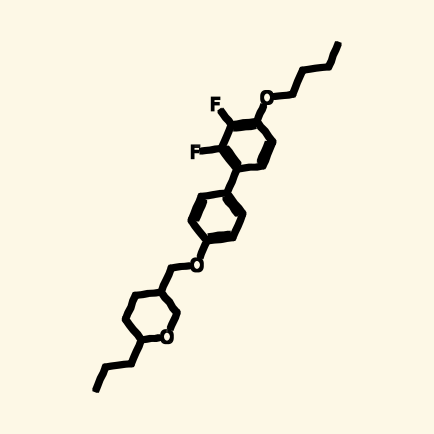 CCCCOc1ccc(-c2ccc(OCC3CCC(CCC)OC3)cc2)c(F)c1F